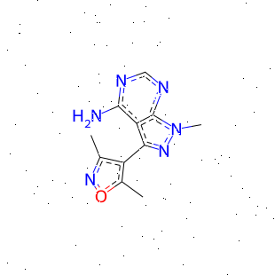 Cc1noc(C)c1-c1nn(C)c2ncnc(N)c12